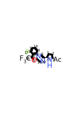 CC(=O)[C@@H]1CC[C@H](c2cnc(OC(c3ccccc3F)C(F)(F)F)cn2)N1